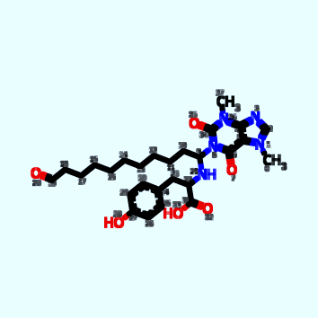 Cn1cnc2c1c(=O)n(C(CCCCCCCCCC=O)NC(Cc1ccc(O)cc1)C(=O)O)c(=O)n2C